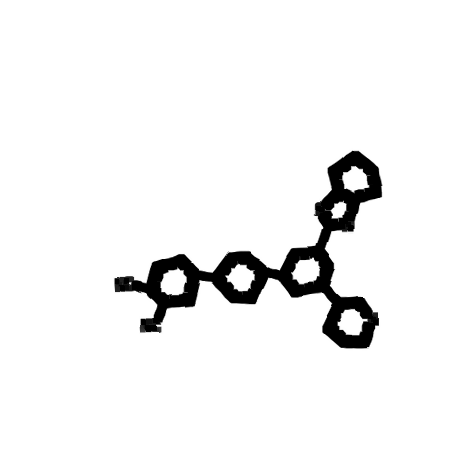 N#Cc1ccc(-c2ccc(-c3cc(-c4cccnc4)cc(-c4nc5ccccc5s4)c3)cc2)cc1C#N